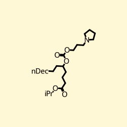 [CH2]C([CH2])OC(=O)CCCC(CCCCCCCCCCCC)OC(=O)OCCCN1CCCC1